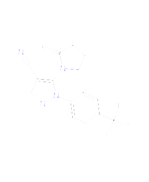 N#Cc1cnn(-c2ccc(C(F)(F)F)cc2Cl)c1N1CCCC1=O